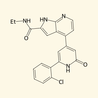 CCNC(=O)c1cc2c(-c3cc(-c4ccccc4Cl)[nH]c(=O)c3)ccnc2[nH]1